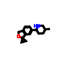 CC1CCC(c2ccc3c(c2)C2(CC2)OC3)NC1